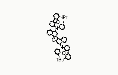 Cc1cccc(N(c2cc3c(oc4cc(N(c5cccc(C)c5)c5cccc6c5oc5c(C(C)(C)C)cccc56)c5ccccc5c43)c3ccccc23)c2cccc3c2oc2c(C(C)C)cccc23)c1